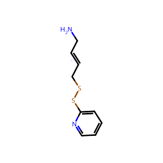 NC/C=C/CSSc1ccccn1